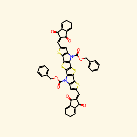 O=C1C(=Cc2cc3c(s2)c2sc4c(sc5c6sc(C=C7C(=O)C8=CCCC=C8C7=O)cc6n(C(=O)OCc6ccccc6)c54)c2n3C(=O)OCc2ccccc2)C(=O)C2=CCCC=C12